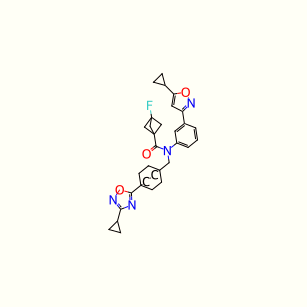 O=C(N(CC12CCC(c3nc(C4CC4)no3)(CC1)CC2)c1cccc(-c2cc(C3CC3)on2)c1)C12CC(F)(C1)C2